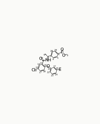 COC(=O)c1ccc([C@H](C)NC(=O)c2cc(Cl)ccc2Oc2cccc(F)c2)cc1